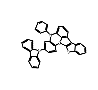 c1ccc(N2c3cc(-n4c5ccccc5c5ccccc54)ccc3B3c4sc5ccccc5c4-c4cccc2c43)cc1